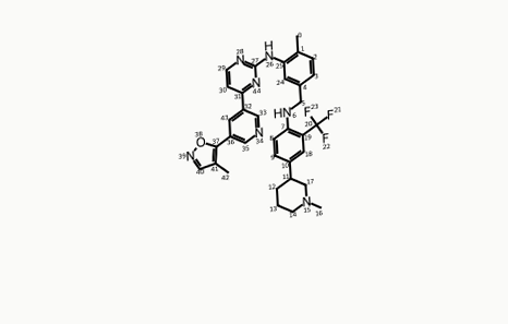 Cc1ccc(CNc2ccc(C3CCCN(C)C3)cc2C(F)(F)F)cc1Nc1nccc(-c2cncc(-c3oncc3C)c2)n1